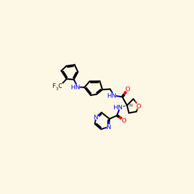 O=C(N[C@@]1(C(=O)NCc2ccc(Nc3ccccc3C(F)(F)F)cc2)CCOC1)c1cnccn1